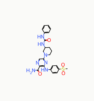 CS(=O)(=O)c1ccc(Nc2nc(N3CCCC(NC(=O)Nc4ccccc4)C3)cnc2C(N)=O)cc1